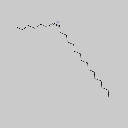 CCCCCC/C=C\CCCCCCCCCCCCCCC